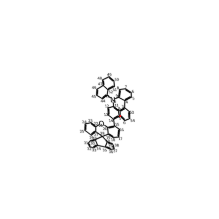 c1ccc(-c2ccccc2N(c2ccc(-c3cccc4c3Oc3ccccc3C43c4ccccc4-c4ccccc43)cc2)c2cccc3ccccc23)cc1